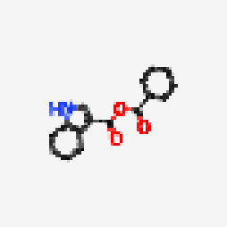 O=C(OC(=O)c1c[nH]c2ccccc12)c1ccccc1